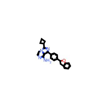 Nc1nccn2c(C3CCC3)nc(-c3ccc(C4Cc5ccccc5O4)cc3)c12